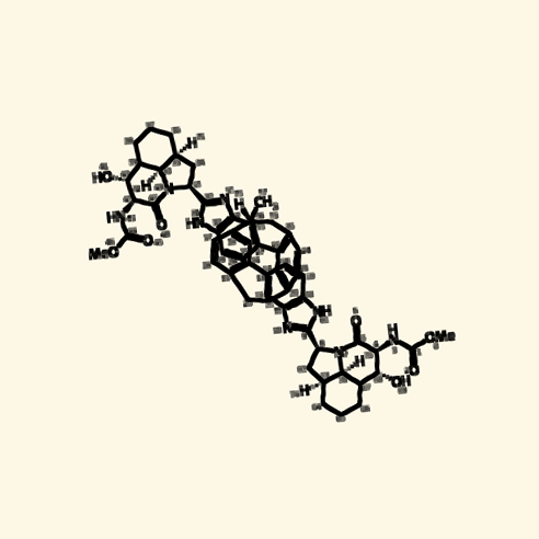 COC(=O)N[C@@H]1C(=O)N2[C@H](c3nc4cc(-c5cc6ccc5CCc5ccc(c(-c7ccc8[nH]c([C@@H]9C[C@@H]%10CCCC%11[C@@H](O)[C@H](NC(=O)OC)C(=O)N9[C@@H]%11%10)nc8c7)c5)C[C@H]6C)ccc4[nH]3)C[C@@H]3CCCC([C@H]1O)[C@@H]32